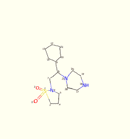 O=S1(=O)CCCN1CC(C1CCCCC1)N1CCNCC1